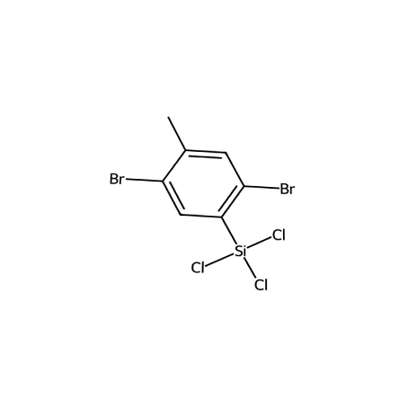 Cc1cc(Br)c([Si](Cl)(Cl)Cl)cc1Br